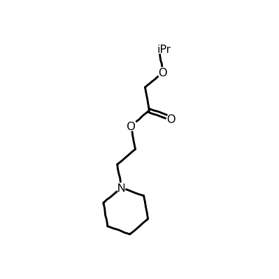 CC(C)OCC(=O)OCCN1CCCCC1